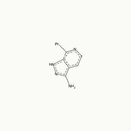 CC(C)c1nccc2c(N)n[nH]c12